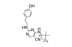 C[C@H]1C[C@@H](Nc2nc(NCCc3ccc(O)cc3)ncc2C#N)C1(C)C